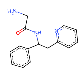 NCC(=O)NC(Cc1ccccn1)c1ccccc1